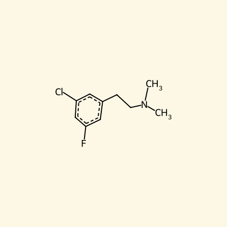 CN(C)CCc1cc(F)cc(Cl)c1